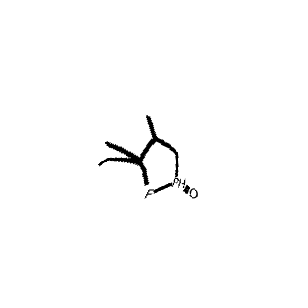 CC(C[PH](=O)F)C(C)(C)C